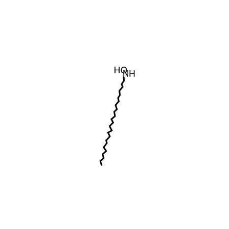 CCCCCCCCCCCCCCCCCCCCCCCCCCNO